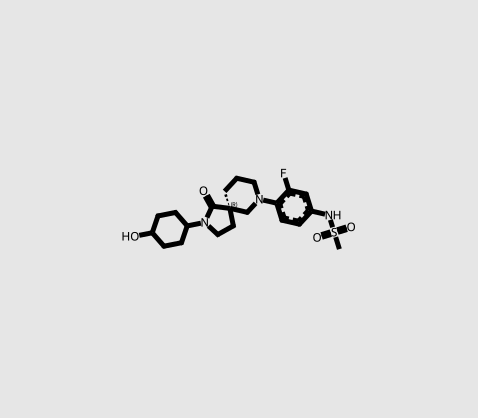 CS(=O)(=O)Nc1ccc(N2CCC[C@@]3(CCN(C4CCC(O)CC4)C3=O)C2)c(F)c1